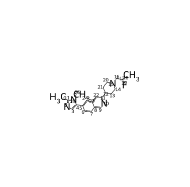 Cc1ncc(-c2ccc3cnc(C4CCN(C[C@@H](C)F)CC4)cc3c2)n1C